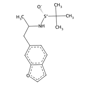 CC(Cc1ccc2ccoc2c1)N[S@+]([O-])C(C)(C)C